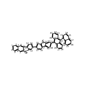 c1ccc2cc3c(cc2c1)sc1cc(-c2ccc4c(c2)sc2cc(-c5c6ccccc6c(-c6cccc7ccccc67)c6ccccc56)ccc24)ccc13